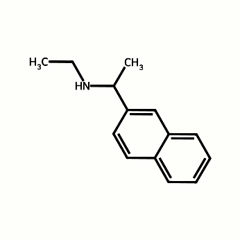 CCNC(C)c1ccc2ccccc2c1